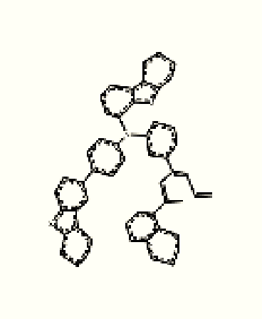 C=C/C=C(\C=C(/C)c1cccc2ccccc12)c1cccc(N(c2ccc(-c3ccc4sc5ccccc5c4c3)cc2)c2cccc3c2oc2ccccc23)c1